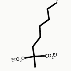 CCOC(=O)C(C)(CCCCCF)C(=O)OCC